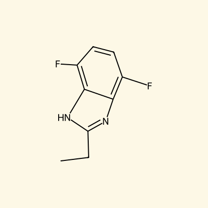 CCc1nc2c(F)ccc(F)c2[nH]1